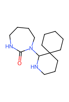 O=C1NCCCCN1C1NCCCC12CCCCC2